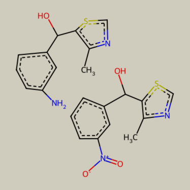 Cc1ncsc1C(O)c1cccc(N)c1.Cc1ncsc1C(O)c1cccc([N+](=O)[O-])c1